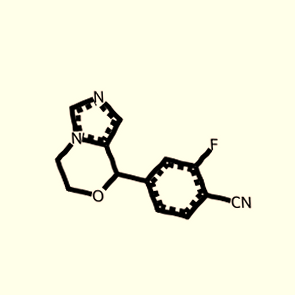 N#Cc1ccc(C2OCCn3cncc32)cc1F